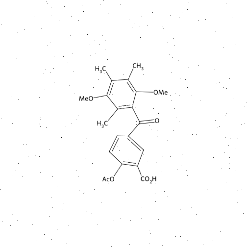 COc1c(C)c(C)c(OC)c(C(=O)c2ccc(OC(C)=O)c(C(=O)O)c2)c1C